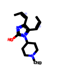 C/C=C\c1nc(O)n(C2CCN(C=O)CC2)c1/C=C\C